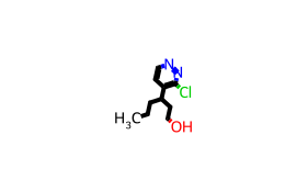 CCCC(CCO)c1ccnnc1Cl